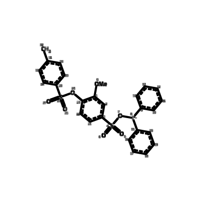 COc1cc(S(=O)(=O)O[I+](c2ccccc2)c2ccccc2)ccc1OS(=O)(=O)c1ccc(C)cc1